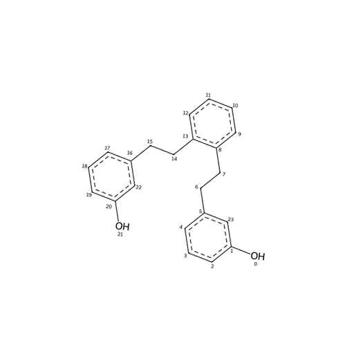 Oc1cccc(CCc2ccccc2CCc2cccc(O)c2)c1